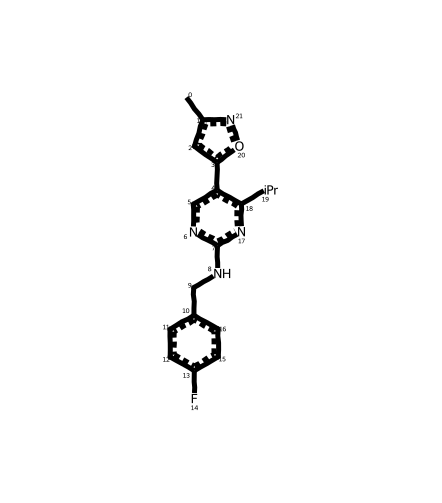 Cc1cc(-c2cnc(NCc3ccc(F)cc3)nc2C(C)C)on1